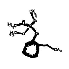 CCc1ccccc1O[Si](OC)(OC)OC